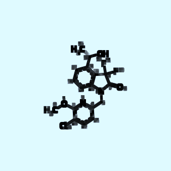 COc1nc(CN2C(=O)C(F)(F)c3c([C@H](C)O)cccc32)ccc1Cl